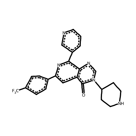 O=c1c2cc(-c3ccc(C(F)(F)F)cc3)nc(-c3cccnc3)c2ncn1C1CCNCC1